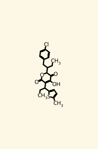 CCC(C1=C(O)C(=O)C(C(CC)Cc2ccc(Cl)cc2)OC1=O)c1ccc(C)s1